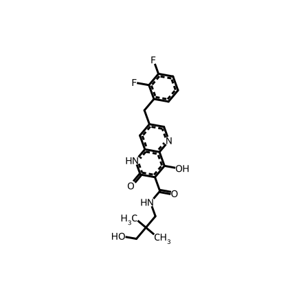 CC(C)(CO)CNC(=O)c1c(O)c2ncc(Cc3cccc(F)c3F)cc2[nH]c1=O